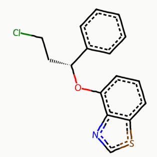 ClCC[C@@H](Oc1cccc2scnc12)c1ccccc1